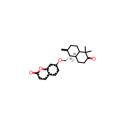 C=C1CCC2C(C)(C)C(=O)CC[C@@]2(C)[C@@H]1COc1ccc2ccc(=O)oc2c1